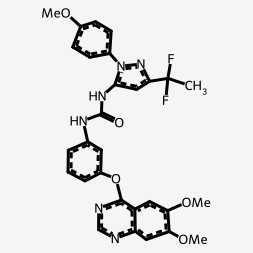 COc1ccc(-n2nc(C(C)(F)F)cc2NC(=O)Nc2cccc(Oc3ncnc4cc(OC)c(OC)cc34)c2)cc1